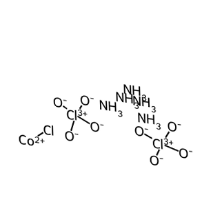 N.N.N.N.N.[Cl][Co+2].[O-][Cl+3]([O-])([O-])[O-].[O-][Cl+3]([O-])([O-])[O-]